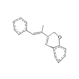 CC(=Cc1ccccc1)C1=Cc2ccccc2OC1